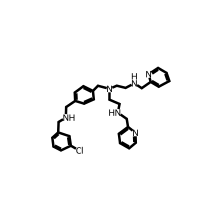 Clc1cccc(CNCc2ccc(CN(CCNCc3ccccn3)CCNCc3ccccn3)cc2)c1